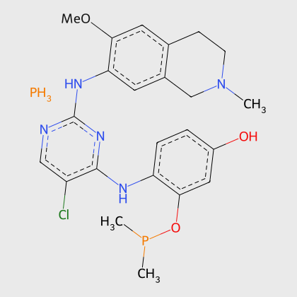 COc1cc2c(cc1Nc1ncc(Cl)c(Nc3ccc(O)cc3OP(C)C)n1)CN(C)CC2.P